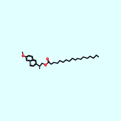 CCCCCCCCCCCCCCCCCC(=O)OCC(C)c1ccc2cc(OC)ccc2c1